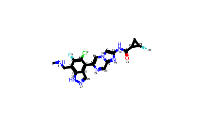 CNCc1c(F)c(Cl)c(-c2cn3cc(NC(=O)C4CC4F)nc3cn2)c2cn[nH]c12